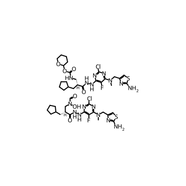 CN(Cc1csc(N)n1)c1nc(Cl)nc(NNC(=O)[C@@H](CNC(=O)OC2CCCCO2)CC2CCCC2)c1F.CN(Cc1csc(N)n1)c1nc(Cl)nc(NNC(=O)[C@H](CC2CCCC2)CN(O)C=O)c1F